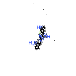 N[C@H]1c2ccccc2CC12CCN(c1cnc3c(-c4cc5cc[nH]c5cc4F)n[nH]c3n1)CC2